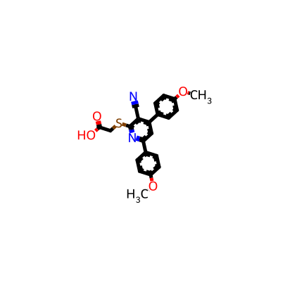 COc1ccc(-c2cc(-c3ccc(OC)cc3)c(C#N)c(SCC(=O)O)n2)cc1